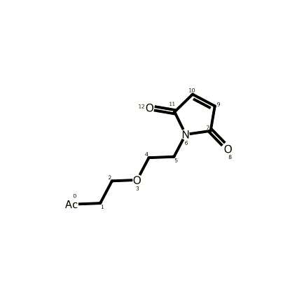 CC(=O)CCOCCN1C(=O)C=CC1=O